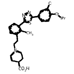 Cc1c(CCN2CCC(C(=O)O)CC2)cccc1-c1nnc(-c2ccc(OC(C)C)c(Cl)c2)s1